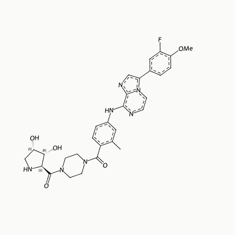 COc1ccc(-c2cnc3c(Nc4ccc(C(=O)N5CCN(C(=O)[C@H]6NC[C@H](O)[C@@H]6O)CC5)c(C)c4)nccn23)cc1F